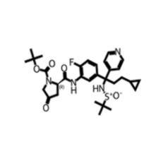 CC(C)(C)OC(=O)N1CC(=O)C[C@@H]1C(=O)Nc1cc(C(CCC2CC2)(N[S+]([O-])C(C)(C)C)c2ccncc2)ccc1F